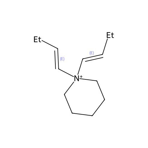 CC/C=C/[N+]1(/C=C/CC)CCCCC1